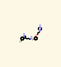 Clc1ccc2[nH]cc(CCCNSc3cccc(OCCCN4CCNCC4)c3)c2c1